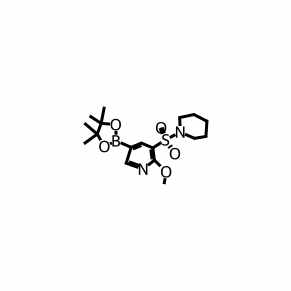 COc1ncc(B2OC(C)(C)C(C)(C)O2)cc1S(=O)(=O)N1CCCCC1